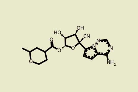 CC1CC(C(=O)O[C@H]2O[C@@](C#N)(c3ccc4c(N)ncnn34)[C@H](O)[C@@H]2O)CCO1